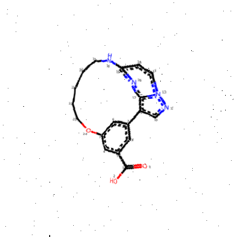 O=C(O)c1cc2cc(c1)-c1cnn3ccc(nc13)NCCCCCO2